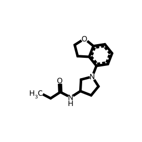 CCC(=O)NC1CCN(c2cccc3c2CCO3)C1